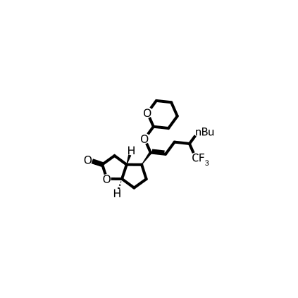 CCCCC(CC=C(OC1CCCCO1)[C@H]1CC[C@H]2OC(=O)C[C@H]12)C(F)(F)F